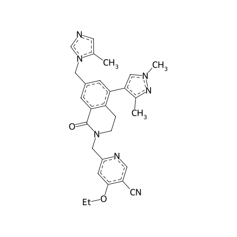 CCOc1cc(CN2CCc3c(cc(Cn4cncc4C)cc3-c3cn(C)nc3C)C2=O)ncc1C#N